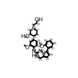 COc1cc([C@@H]2CCN(CCO)C[C@@H]2O)ccc1Nc1ncc2ccc(-c3ccccc3OC)n2n1